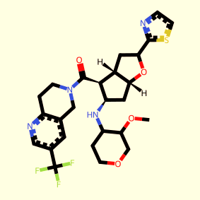 COC1COCCC1N[C@@H]1C[C@H]2OC(c3nccs3)C[C@H]2[C@@H]1C(=O)N1CCc2ncc(C(F)(F)F)cc2C1